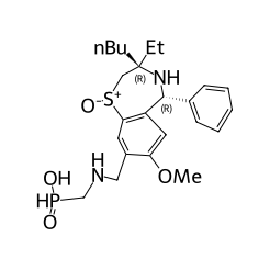 CCCC[C@]1(CC)C[S+]([O-])c2cc(CNC[PH](=O)O)c(OC)cc2[C@@H](c2ccccc2)N1